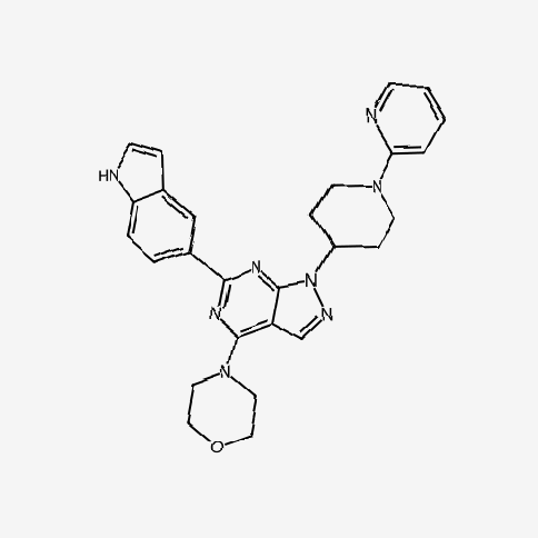 c1ccc(N2CCC(n3ncc4c(N5CCOCC5)nc(-c5ccc6[nH]ccc6c5)nc43)CC2)nc1